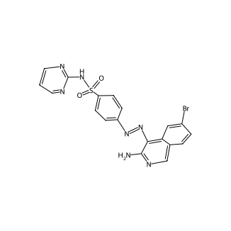 Nc1ncc2ccc(Br)cc2c1/N=N/c1ccc(S(=O)(=O)Nc2ncccn2)cc1